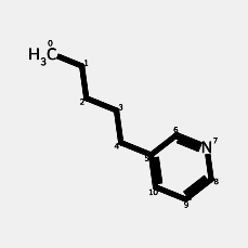 CCCCCc1[c]nc[c]c1